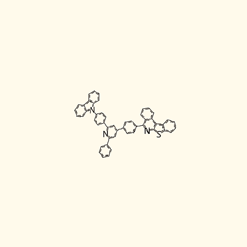 c1ccc(-c2cc(-c3ccc(-c4nc5sc6ccccc6c5c5ccccc45)cc3)cc(-c3ccc(-n4c5ccccc5c5ccccc54)cc3)n2)cc1